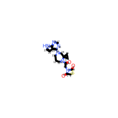 O=C1CSC(=O)N1CC(=O)N1CCCN(c2ncnc3[nH]ccc23)CC12CC2